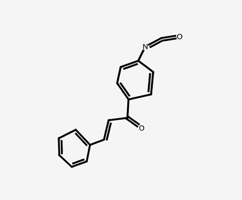 O=C=Nc1ccc(C(=O)C=Cc2ccccc2)cc1